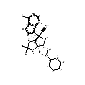 Cc1ncnn2c(C3(C#N)O[C@H](COC4CCCCO4)[C@H]4OC(C)(C)O[C@H]43)ccc12